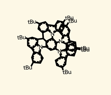 CC(C)(C)c1ccc2c(c1)c1cc(C(C)(C)C)ccc1n2-c1cc2c3c(c1-n1c4ccc(C(C)(C)C)cc4c4cc(C(C)(C)C)ccc41)-n1c4ccc(C(C)(C)C)cc4c4cc(C(C)(C)C)cc(c41)C3c1cc(C(C)(C)C)cc3c4cc(C(C)(C)C)ccc4n-2c13